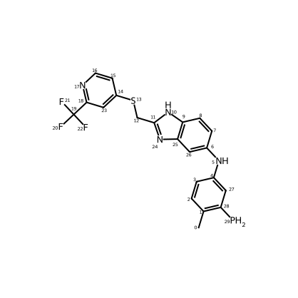 Cc1ccc(Nc2ccc3[nH]c(CSc4ccnc(C(F)(F)F)c4)nc3c2)cc1P